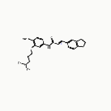 COc1ccc(NC(=O)/C=C/c2ccc3c(c2)CCC3)cc1OCCCN(C(C)C)C(C)C